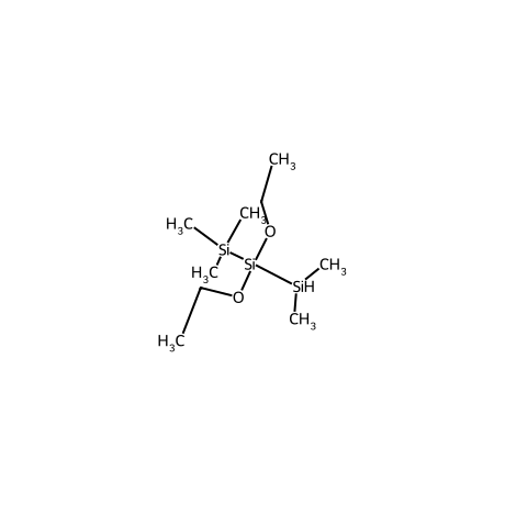 CCO[Si](OCC)([SiH](C)C)[Si](C)(C)C